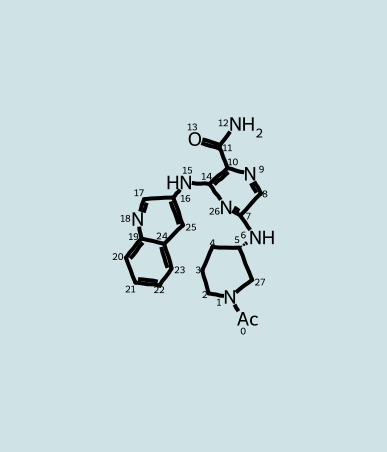 CC(=O)N1CCC[C@H](Nc2cnc(C(N)=O)c(Nc3cnc4ccccc4c3)n2)C1